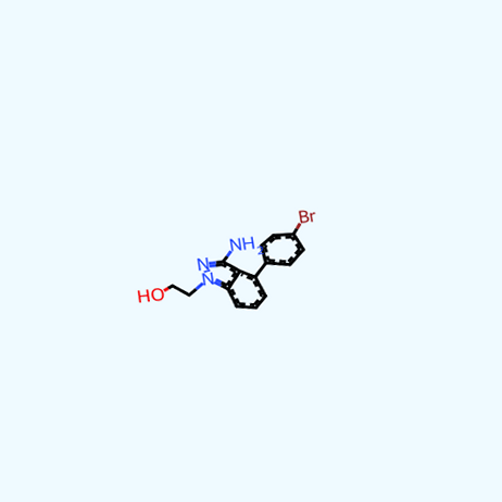 Nc1nn(CCO)c2cccc(-c3ccc(Br)cc3)c12